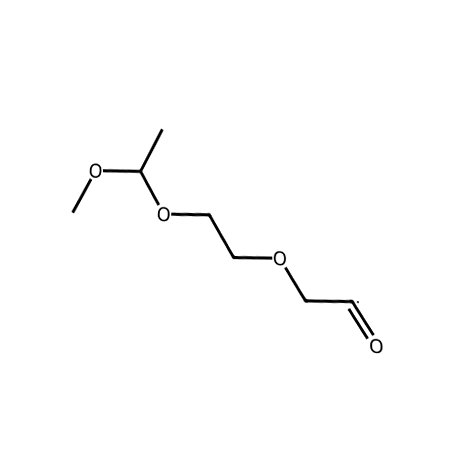 COC(C)OCCOC[C]=O